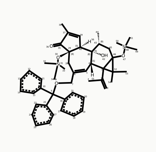 C=C(C)C12[C@@H]3C=C(COC(c4ccccc4)(c4ccccc4)c4ccccc4)C[C@]4(O[Si](C)(C)C)C(=O)C(C)=C[C@H]4[C@@]3(O)[C@H](C)CC1(O[Si](C)(C)C)C2(C)C